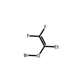 CCC(OBr)=C(F)F